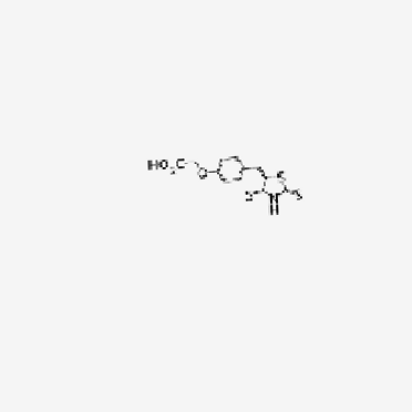 O=C(O)COc1ccc(C=C2SC(=S)NC2=S)cc1